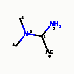 CC(=O)C(N)N(C)C